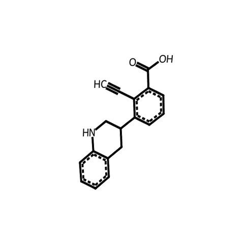 C#Cc1c(C(=O)O)cccc1C1CNc2ccccc2C1